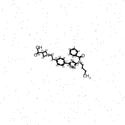 CCCCN(C(=O)c1ccccc1)c1nnc(-c2ccc(CCN3CC(C(=O)O)C3)cc2)s1